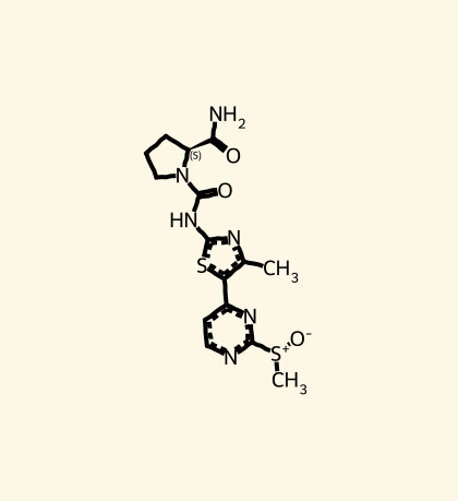 Cc1nc(NC(=O)N2CCC[C@H]2C(N)=O)sc1-c1ccnc([S+](C)[O-])n1